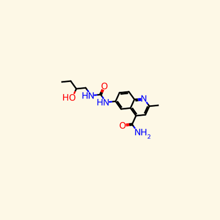 CCC(O)CNC(=O)Nc1ccc2nc(C)cc(C(N)=O)c2c1